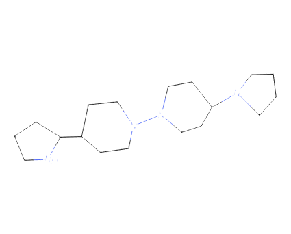 C1CNC(C2CCN(N3CCC(N4CCCC4)CC3)CC2)C1